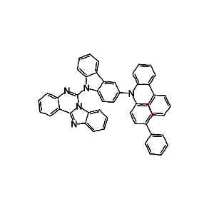 c1ccc(-c2ccc(N(c3ccc4c(c3)c3ccccc3n4-c3nc4ccccc4c4nc5ccccc5n34)c3ccccc3-c3ccccc3)cc2)cc1